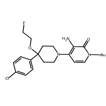 CCCCn1ccc(N2CCC(OCCF)(c3ccc(Cl)cc3)CC2)c(N)c1=O